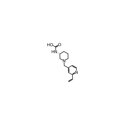 C=Cc1cc(CN2CCC[C@@H](NC(=O)O)C2)ccn1